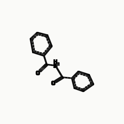 O=C([SiH2]C(=O)c1ccccc1)c1ccccc1